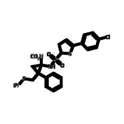 CC(C)SCC1(c2ccccc2)CC1(NS(=O)(=O)C1CC=C(c2ccc(Cl)cc2)S1)C(=O)O